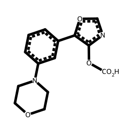 O=C(O)Oc1ncoc1-c1cccc(N2CCOCC2)c1